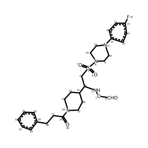 O=CONC(CS(=O)(=O)N1CCN(c2ccc(F)cc2)CC1)C1CCN(C(=O)CCc2ccccc2)CC1